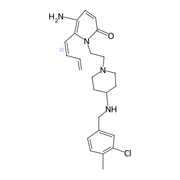 C=C/C=C\c1c(N)ccc(=O)n1CCN1CCC(NCc2ccc(C)c(Cl)c2)CC1